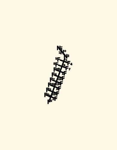 [N-]=[N+]=NC(F)(F)C(F)(F)C(F)(F)C(F)(F)C(F)(F)C(F)(F)C(F)(F)C(F)(F)F